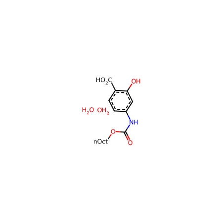 CCCCCCCCOC(=O)Nc1ccc(C(=O)O)c(O)c1.O.O